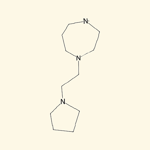 C1CCN(CCN2CCC[N]CC2)C1